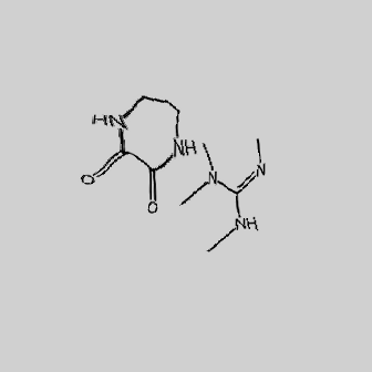 CN=C(NC)N(C)C.O=C1NCCNC1=O